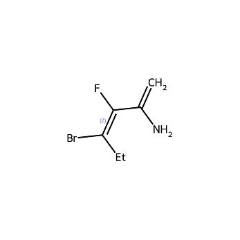 C=C(N)/C(F)=C(/Br)CC